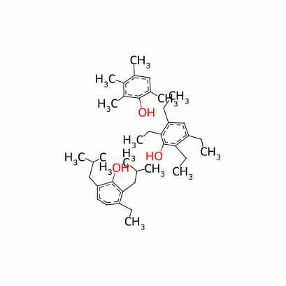 CCc1cc(CC)c(CC)c(O)c1CC.CCc1ccc(CC(C)C)c(O)c1CC(C)C.Cc1cc(C)c(O)c(C)c1C